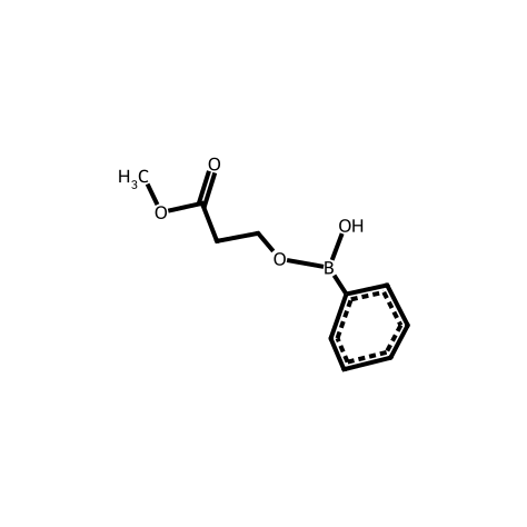 COC(=O)CCOB(O)c1ccccc1